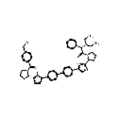 CCN(CC)[C@@H](C(=O)N1CCC[C@H]1c1ncc(-c2ccc(-c3ccc(-c4cnc([C@@H]5CCCN5C(=O)c5ccc(CO)cc5)[nH]4)cc3)cc2)[nH]1)c1ccccc1